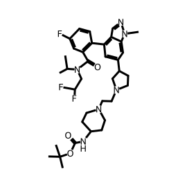 CC(C)N(CC(F)F)C(=O)c1cc(F)ccc1-c1cc(C2CCN(CCN3CCC(NC(=O)OC(C)(C)C)CC3)C2)cc2c1cnn2C